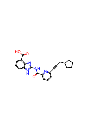 O=C(Nc1nc2c(C(=O)O)cccc2[nH]1)c1cccc(C#CCC2CCCC2)n1